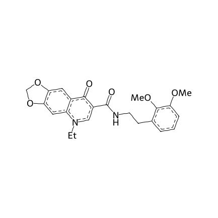 CCn1cc(C(=O)NCCc2cccc(OC)c2OC)c(=O)c2cc3c(cc21)OCO3